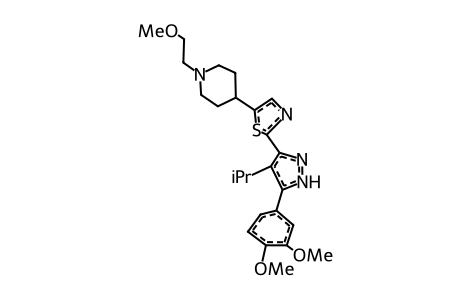 COCCN1CCC(c2cnc(-c3n[nH]c(-c4ccc(OC)c(OC)c4)c3C(C)C)s2)CC1